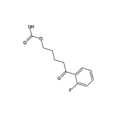 O=C(O)OCCCCC(=O)c1ccccc1F